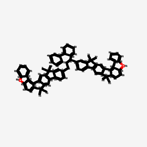 CC1(C)c2cc(CCC(c3ccc4c(c3)C(C)(C)c3cc5c(cc3-4)C(C)(C)c3ccc4oc6ccccc6c4c3-5)c3ccccc3-c3ccccc3)ccc2-c2cc3c(cc21)-c1c(ccc2oc4ccccc4c12)C3(C)C